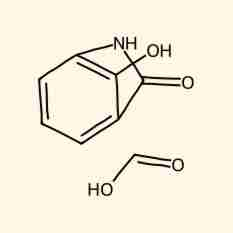 O=C1Nc2cccc1c2O.O=CO